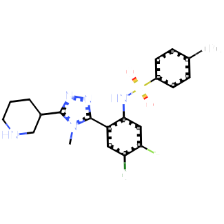 Cn1c(-c2cc(Cl)c(F)cc2NS(=O)(=O)c2ccc(C(C)(C)C)cc2)nnc1C1CCCNC1